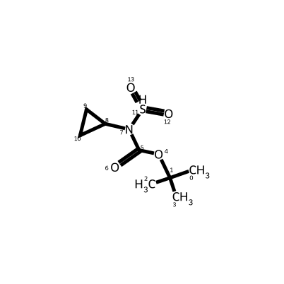 CC(C)(C)OC(=O)N(C1CC1)[SH](=O)=O